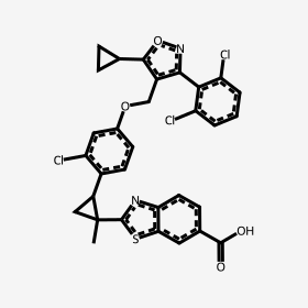 CC1(c2nc3ccc(C(=O)O)cc3s2)CC1c1ccc(OCc2c(-c3c(Cl)cccc3Cl)noc2C2CC2)cc1Cl